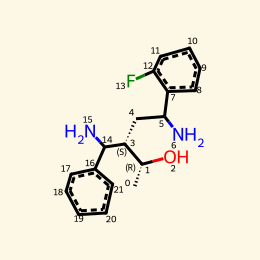 C[C@@H](O)[C@@H](CC(N)c1ccccc1F)C(N)c1ccccc1